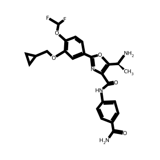 C[C@H](N)c1oc(-c2ccc(OC(F)F)c(OCC3CC3)c2)nc1C(=O)Nc1ccc(C(N)=O)cc1